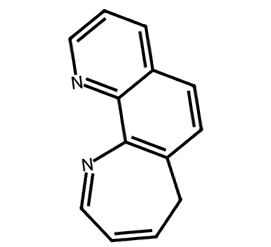 C1=CCc2ccc3cccnc3c2N=C1